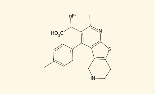 CCCC(C(=O)O)c1c(C)nc2sc3c(c2c1-c1ccc(C)cc1)CNCC3